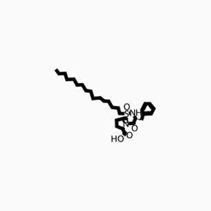 CCCCCCCCCCCCCCCCS(=O)(=O)N[C@H](Cc1ccccc1)C(=O)N1CCCC1C(=O)O